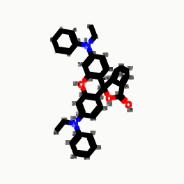 CCN(C1=CCCC=C1)c1ccc2c(c1)Oc1cc(N(CC)c3ccccc3)ccc1C21OC(=O)c2ccccc21